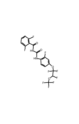 O=C(NC(=O)c1c(F)cccc1F)Nc1ccc(OC(F)(F)C(F)OC(F)(F)F)cc1F